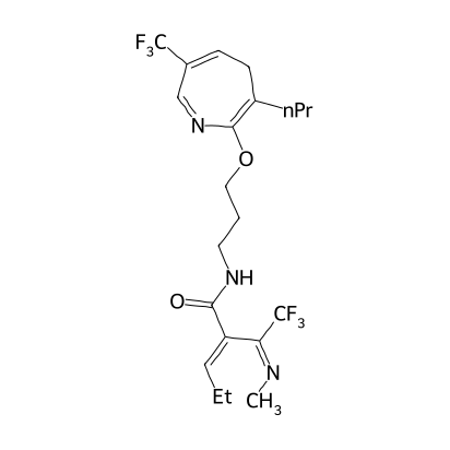 CC/C=C(C(=O)NCCCOC1=C(CCC)CC=C(C(F)(F)F)C=N1)\C(=N/C)C(F)(F)F